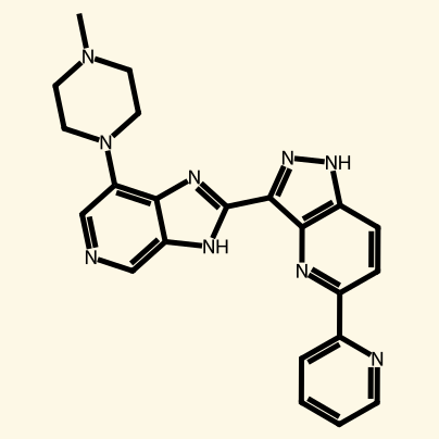 CN1CCN(c2cncc3[nH]c(-c4n[nH]c5ccc(-c6ccccn6)nc45)nc23)CC1